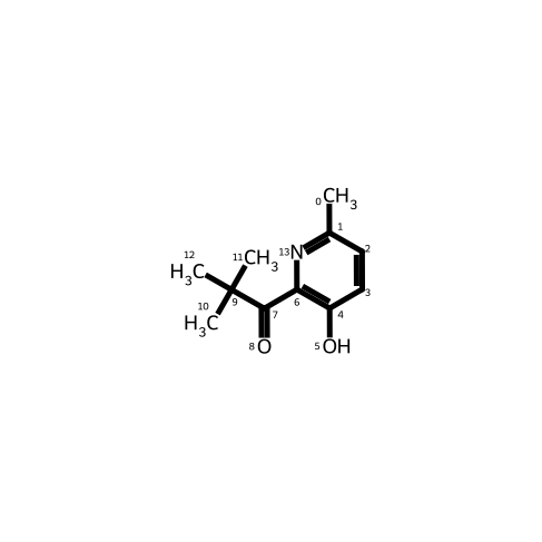 Cc1ccc(O)c(C(=O)C(C)(C)C)n1